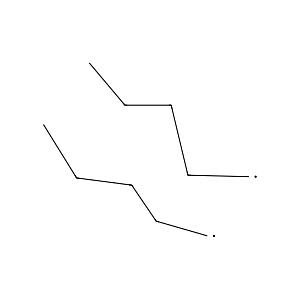 [CH2]CCCC.[CH2]CCCC